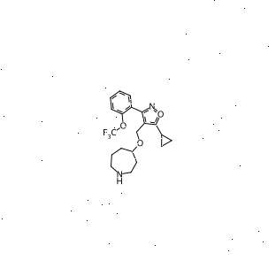 FC(F)(F)Oc1ccccc1-c1noc(C2CC2)c1COC1CCCNCC1